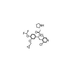 O=C(C[C@@H]1CCCN1)O[C@@H](Cc1c(Cl)cncc1Cl)c1ccc(OC(F)F)c(OCC2CC2)c1